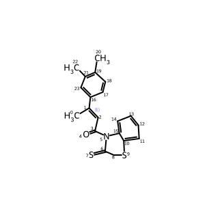 C/C(=C\C(=O)N1C(=S)CSc2ccccc21)c1ccc(C)c(C)c1